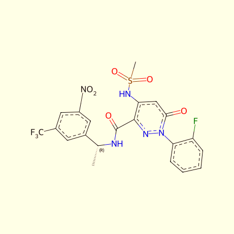 C[C@@H](NC(=O)c1nn(-c2ccccc2F)c(=O)cc1NS(C)(=O)=O)c1cc([N+](=O)[O-])cc(C(F)(F)F)c1